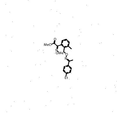 CCc1ccc(/C(C)=N/OCc2c(C)cccc2/C(=N\OC)C(=O)OC)cc1